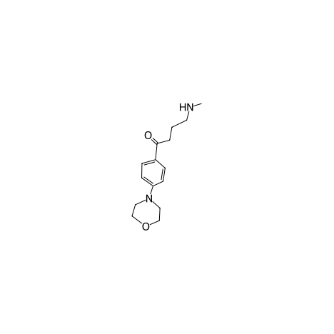 CNCCCC(=O)c1ccc(N2CCOCC2)cc1